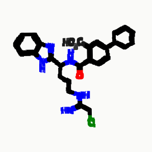 N=C(CCl)NCCCC(NC(=O)c1ccc(-c2ccccc2)cc1C(=O)O)c1nc2ccccc2[nH]1